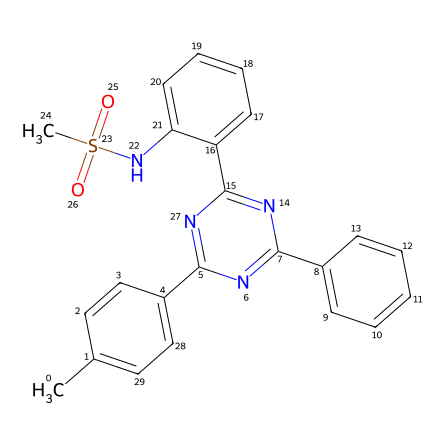 Cc1ccc(-c2nc(-c3ccccc3)nc(-c3ccccc3NS(C)(=O)=O)n2)cc1